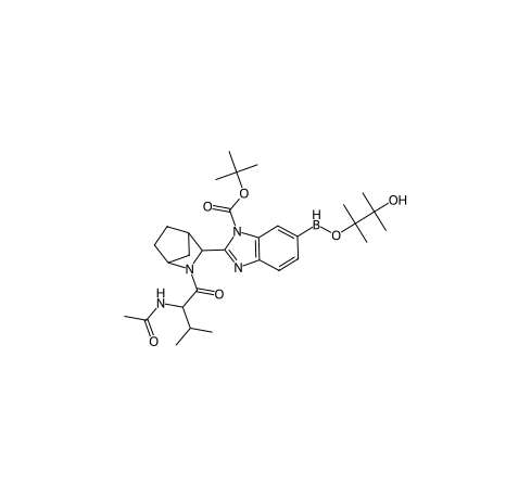 CC(=O)NC(C(=O)N1C2CCC(C2)C1c1nc2ccc(BOC(C)(C)C(C)(C)O)cc2n1C(=O)OC(C)(C)C)C(C)C